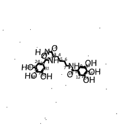 NC(=O)[C@@H](CCCCNC(=O)c1cc(O)c(O)c(O)c1)NC(=O)c1cc(O)c(O)c(O)c1